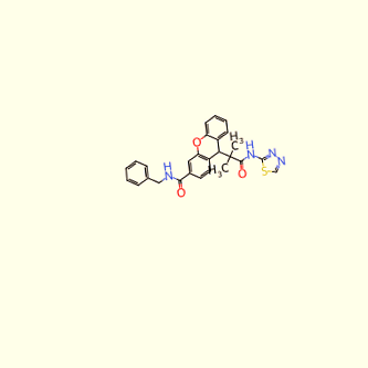 CC(C)(C(=O)Nc1nncs1)C1c2ccccc2Oc2cc(C(=O)NCc3ccccc3)ccc21